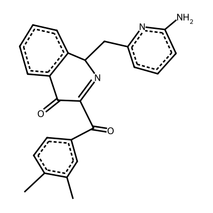 Cc1ccc(C(=O)C2=NC(Cc3cccc(N)n3)c3ccccc3C2=O)cc1C